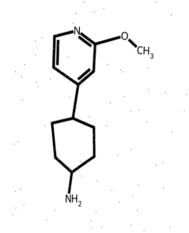 COc1cc(C2CCC(N)CC2)ccn1